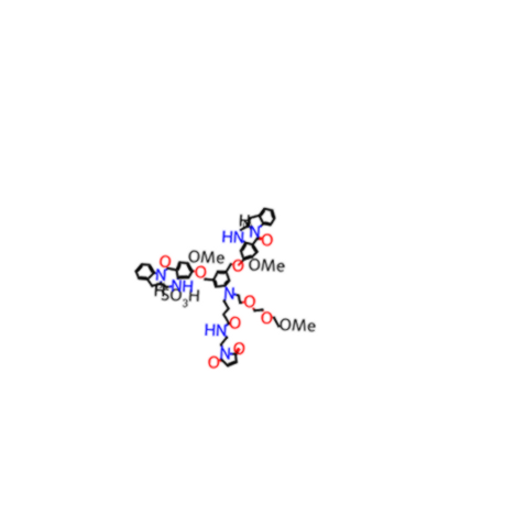 COCCOCCOCCN(CCCC(=O)NCCN1C(=O)C=CC1=O)c1cc(COc2cc3c(cc2OC)C(=O)N2c4ccccc4C[C@H]2CN3)cc(COc2cc3c(cc2OC)C(=O)N2c4ccccc4C[C@H]2C(S(=O)(=O)O)N3)c1